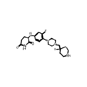 O=C1CCC(Nc2ccc(N3CCN(CC4(F)CCNCC4)CC3)c(F)c2)C(=O)N1